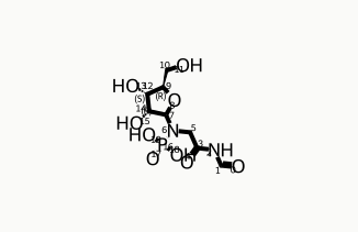 O=CNC(=O)CN(C1O[C@H](CO)[C@@H](O)[C@H]1O)P(=O)(O)O